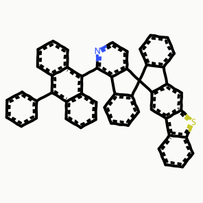 c1ccc(-c2c3ccccc3c(-c3nccc4c3-c3ccccc3C43c4ccccc4-c4cc5sc6ccccc6c5cc43)c3ccccc23)cc1